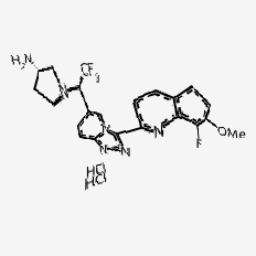 COc1ccc2ccc(-c3nnc4ccc([C@@H](N5CC[C@H](N)C5)C(F)(F)F)cn34)nc2c1F.Cl.Cl